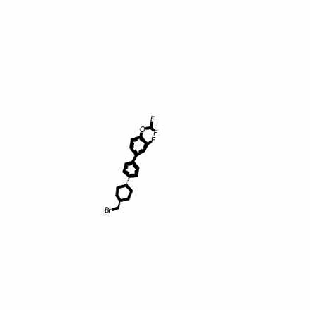 Fc1cc(-c2ccc([C@H]3CC[C@H](CBr)CC3)cc2)ccc1OC(F)F